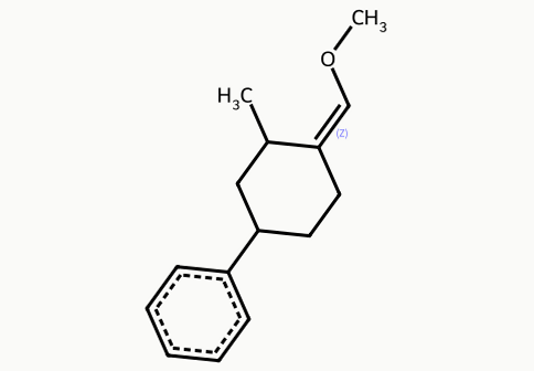 CO/C=C1/CCC(c2ccccc2)CC1C